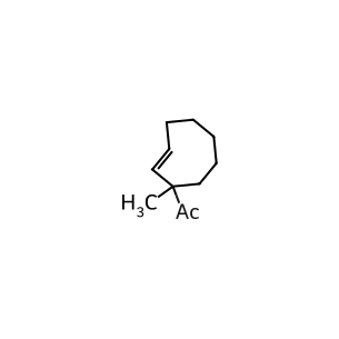 CC(=O)C1(C)/C=C/CCCCC1